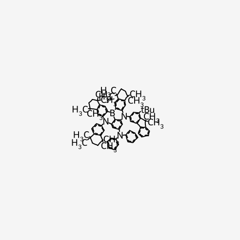 CC(C)(C)c1cc(N2c3cc4c(cc3B3c5cc6c(cc5N(c5ccc7c(c5)C(C)(C)CCC7(C)C)c5cc(N(c7ccccc7)c7ccccc7)cc2c53)C(C)(C)CCC6(C)C)C(C)(C)CCC4(C)C)cc2c1C(C)(C)c1ccccc1-2